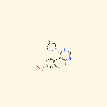 COc1ccc(-c2c(C)ncnc2N2CCC(F)C2)c(C)c1